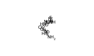 NC1CC(NC(=O)N2CCN(C(=O)c3ccc(NC(=O)c4ncc(Cc5c(C(F)(F)F)n[nH]c5C5CC5)[nH]4)cc3Cl)CC2)C1